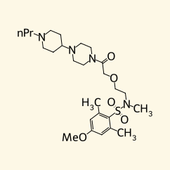 CCCN1CCC(N2CCN(C(=O)COCCN(C)S(=O)(=O)c3c(C)cc(OC)cc3C)CC2)CC1